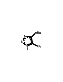 CCCCc1nn[nH]c1C(C)C